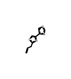 C=CCc1nc(-c2cscn2)cs1